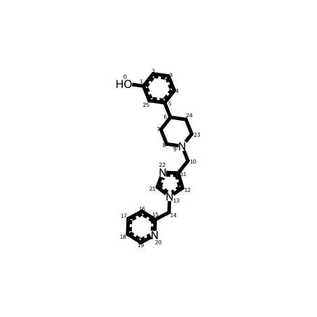 Oc1cccc(C2CCN(Cc3cn(Cc4ccccn4)cn3)CC2)c1